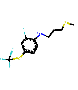 CSCCCNc1ccc(SC(F)(F)F)cc1F